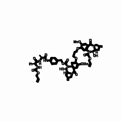 C=CCOC(=O)N[C@H](C(=O)N[C@@H](C)C(=O)Nc1ccc(COC(=O)N2c3cc(OCCCOc4cc5c(cc4OC)C(=O)N4CC(=C)C[C@H]4[C@H](O)N5C(=O)OCC=C)c(OC)cc3C(=O)N3CC(=C)C[C@H]3[C@@H]2O)cc1)C(C)C